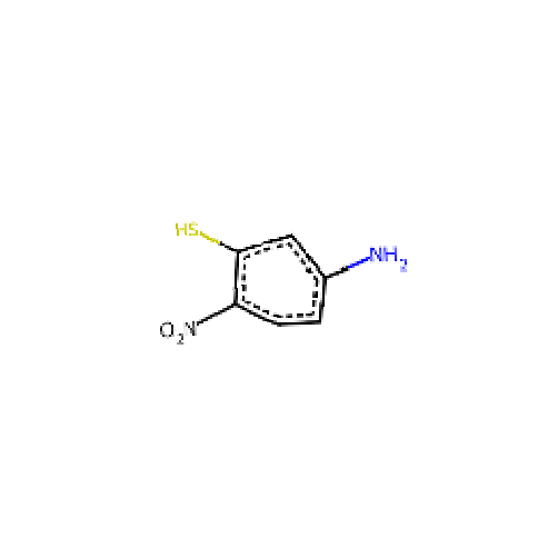 Nc1ccc([N+](=O)[O-])c(S)c1